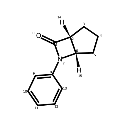 O=C1[C@@H]2CCC[C@@H]2N1c1ccccc1